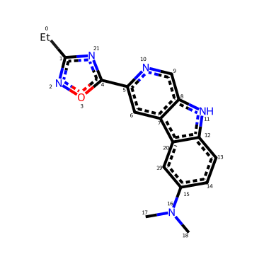 CCc1noc(-c2cc3c(cn2)[nH]c2ccc(N(C)C)cc23)n1